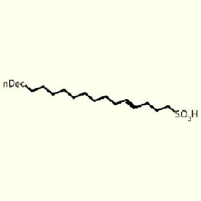 CCCCCCCCCCCCCCCCCCC/C=C/CCCS(=O)(=O)O